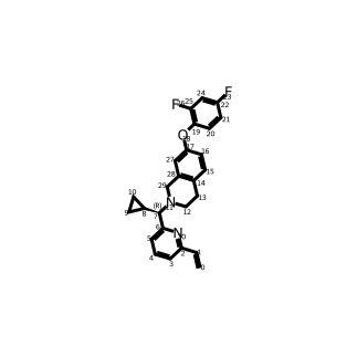 C=Cc1cccc([C@@H](C2CC2)N2CCc3ccc(Oc4ccc(F)cc4F)cc3C2)n1